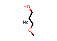 COCCCO.[Nd]